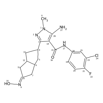 Cn1nc(C2CC3CC(=NO)CC3C2)c(C(=O)Nc2ccc(F)c(Cl)c2)c1N